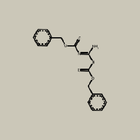 NC([N]C(=O)OCc1ccccc1)=NC(=O)OCc1ccccc1